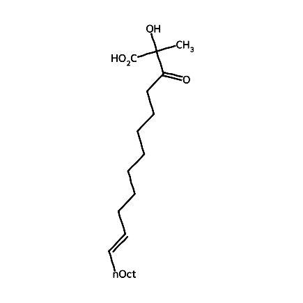 CCCCCCCCC=CCCCCCCCC(=O)C(C)(O)C(=O)O